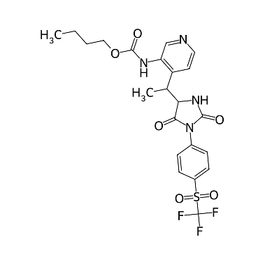 CCCCOC(=O)Nc1cnccc1C(C)C1NC(=O)N(c2ccc(S(=O)(=O)C(F)(F)F)cc2)C1=O